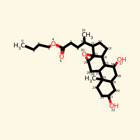 CCCCOC(=O)CCC(C)C1CCC2C3C(O)CC4CC(O)CCC4(C)C3CC3OC312